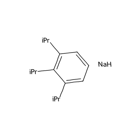 CC(C)c1cccc(C(C)C)c1C(C)C.[NaH]